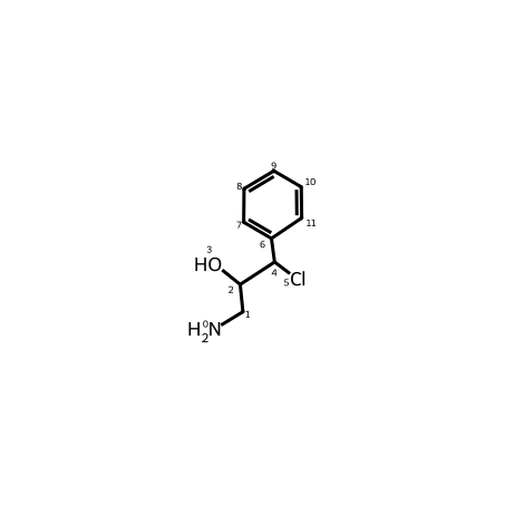 NCC(O)C(Cl)c1ccccc1